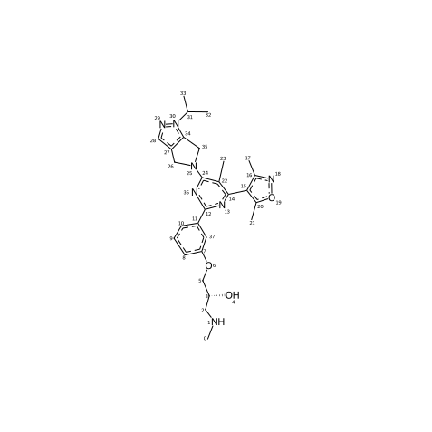 CNC[C@@H](O)COc1cccc(-c2nc(-c3c(C)noc3C)c(C)c(N3Cc4cnn(C(C)C)c4C3)n2)c1